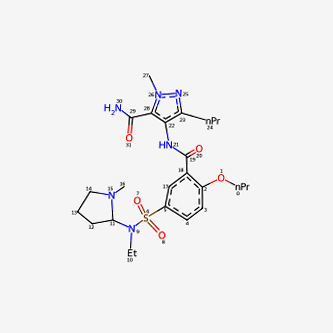 CCCOc1ccc(S(=O)(=O)N(CC)C2CCCN2C)cc1C(=O)Nc1c(CCC)nn(C)c1C(N)=O